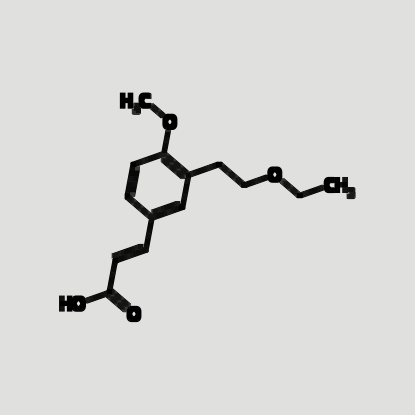 CCOCCc1cc(C=CC(=O)O)ccc1OC